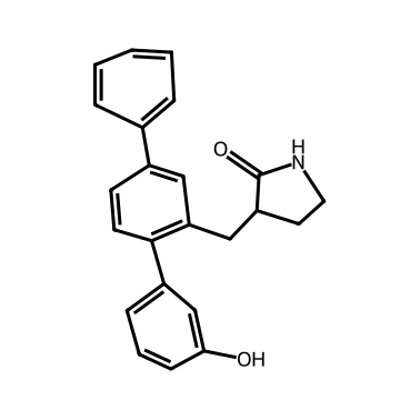 O=C1NCCC1Cc1cc(-c2ccccc2)ccc1-c1cccc(O)c1